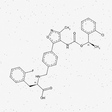 Cc1noc(-c2ccc(CN[C@H](Cc3ccccc3F)C(=O)O)cc2)c1NC(=O)O[C@H](C)c1ccccc1Cl